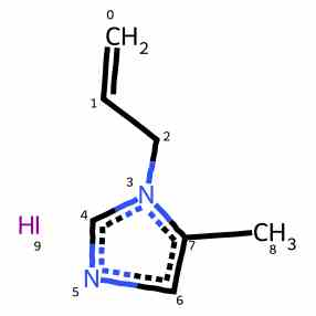 C=CCn1cncc1C.I